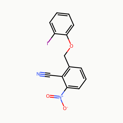 N#Cc1c(COc2ccccc2I)cccc1[N+](=O)[O-]